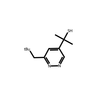 CC(C)(C)Cc1cc(C(C)(C)S)cnn1